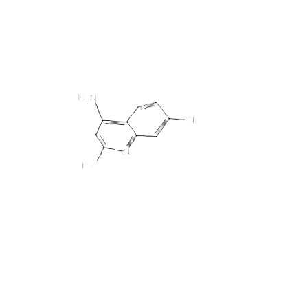 Nc1cc(C(F)(F)F)nc2cc(Cl)ccc12